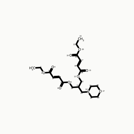 CCOC(=O)/C=C/C(=O)OCC(COC(=O)/C=C/C(=O)OCC)CN1CCOCC1